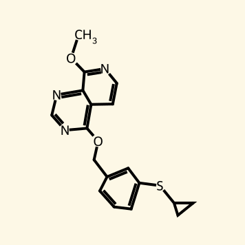 COc1nccc2c(OCc3cccc(SC4CC4)c3)ncnc12